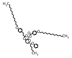 CCCCCCCCCCCCCCOc1ccc(CCC(=O)O[C@H]2CC[C@@H](C(CCCCC)Oc3ccccc3)O[C@@H]2COC(=O)c2ccc(OCCCCCCCCCCCCCC)cc2)cc1